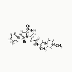 CC(CN1CCN(C)CC1)NC(=O)CC1CNC(=O)c2cc(-c3cccc(F)c3)c(Br)n21